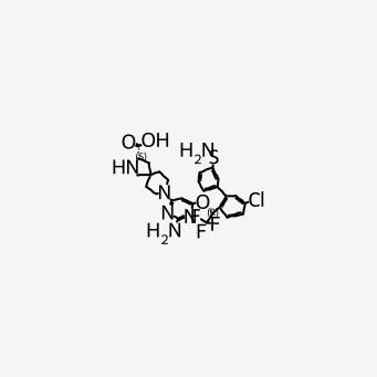 NSc1cccc(-c2cc(Cl)ccc2[C@@H](Oc2cc(N3CCC4(CC3)CN[C@H](C(=O)O)C4)nc(N)n2)C(F)(F)F)c1